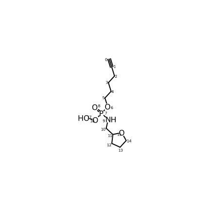 C#CCCCCOP(=O)(NCC1CCCO1)OO